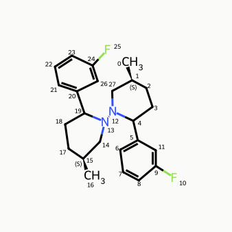 C[C@H]1CCC(c2cccc(F)c2)N(N2C[C@@H](C)CCC2c2cccc(F)c2)C1